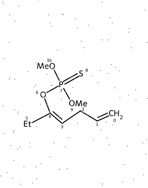 C=CCC=C(CC)OP(=S)(OC)OC